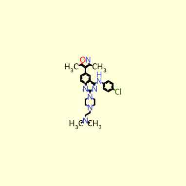 Cc1noc(C)c1-c1ccc2nc(N3CCN(CCN(C)C)CC3)nc(Nc3ccc(Cl)cc3)c2c1